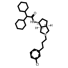 O=C(N[C@H]1CC[C@H]2CN(CCCc3cccc(Cl)c3)C[C@H]21)C(C1CCCCC1)C1CCCCC1